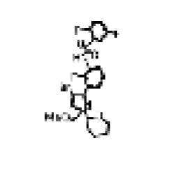 COC[N+]1(C2CCCCO2)C=C(Br)C(c2cccc(NS(=O)(=O)c3cc(F)ccc3F)c2F)=N1